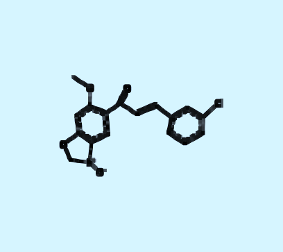 COc1cc2c(cc1C(=O)C=Cc1cccc(Cl)c1)[S+]([O-])CO2